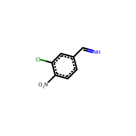 N=Cc1ccc([N+](=O)[O-])c(Cl)c1